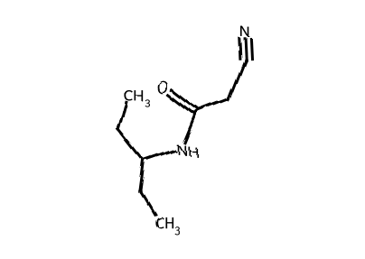 CCC(CC)NC(=O)CC#N